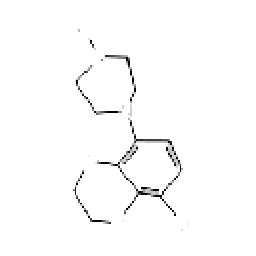 ON1CCN(c2ccc(Cl)c3c2OCCO3)CC1